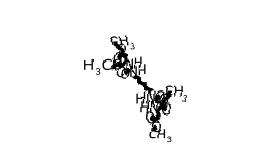 CCOC(=O)CC(NC(=O)NCCCCCCNC(=O)NC(CC(=O)OCC)C(=O)OCC)C(=O)OCC